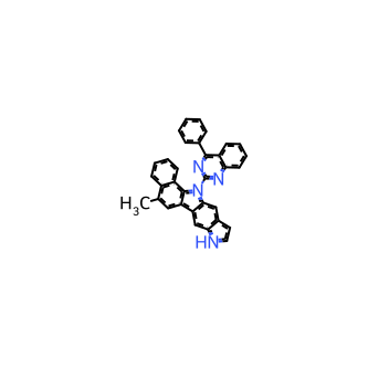 Cc1cc2c3cc4[nH]ccc4cc3n(-c3nc(-c4ccccc4)c4ccccc4n3)c2c2ccccc12